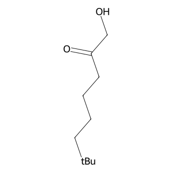 CC(C)(C)CCCCC(=O)CO